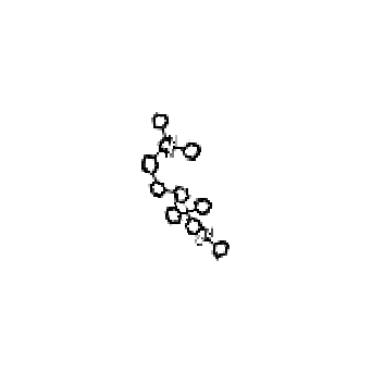 c1ccc(-c2cc(-c3cccc(-c4cccc(-c5cccc6c5-c5ccccc5C6(c5ccccc5)c5ccc6oc(-c7ccccc7)nc6c5)c4)c3)nc(-c3ccccc3)n2)cc1